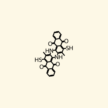 Cc1c(S)c2c(=O)c3ccccc3c(=O)c2c2[nH]c3c(C)c(S)c4c(=O)c5ccccc5c(=O)c4c3[nH]c12